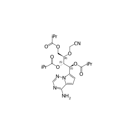 CC(C)C(=O)OC[C@@H](OCC#N)[C@@H](OC(=O)C(C)C)[C@@H](OC(=O)C(C)C)c1ccc2c(N)ncnn12